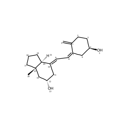 C=C1CC[C@@H](O)C/C1=C/C=C1\C[C@H](O)C[C@]2(C)CCC[C@@H]12